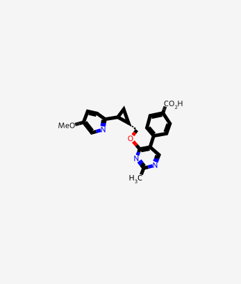 COc1ccc(C2C[C@@H]2COc2nc(C)ncc2-c2ccc(C(=O)O)cc2)nc1